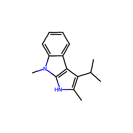 Cc1[nH]c2c(c1C(C)C)c1ccccc1n2C